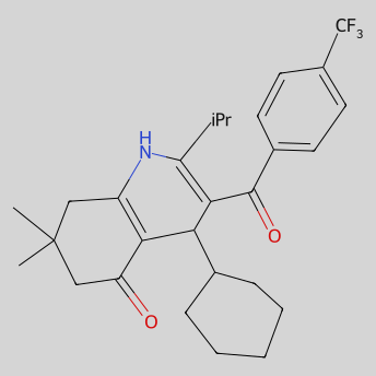 CC(C)C1=C(C(=O)c2ccc(C(F)(F)F)cc2)C(C2CCCCC2)C2=C(CC(C)(C)CC2=O)N1